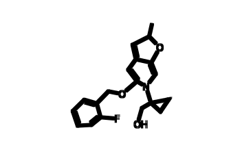 CC1C=C2C=C(OCc3ccccc3F)N(C3(CO)CC3)C=C2O1